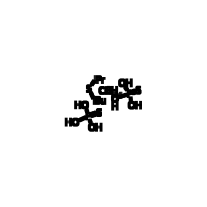 C.C.CCC(C)SC(C)C.OP(O)(O)=S.OP(O)(O)=S